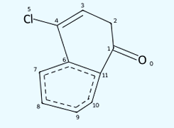 O=C1CC=C(Cl)c2ccccc21